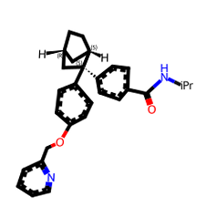 CC(C)NC(=O)c1ccc([C@]2(c3ccc(OCc4ccccn4)cc3)C[C@@H]3CC[C@H]2C3)cc1